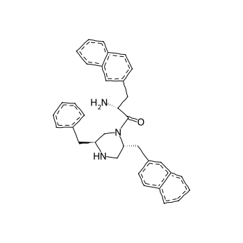 N[C@H](Cc1ccc2ccccc2c1)C(=O)N1C[C@H](Cc2ccccc2)NC[C@H]1Cc1ccc2ccccc2c1